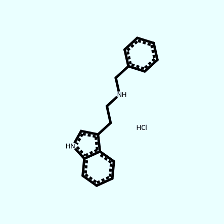 Cl.c1ccc(CNCCc2c[nH]c3ccccc23)cc1